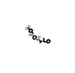 CC/C(=C\c1ccccc1)[C@@H]1C[C@H]1NC[C@H]1CC[C@H](NCc2ccc(C(=O)OC)cc2)CC1